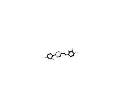 CCCCCc1ccc(/C=C/C2CCC(c3ccc(OC)cc3F)CC2)c(F)c1F